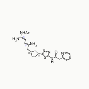 CC(=O)N/C(N)=C/C=C(\N)C[C@@H]1CC[C@H](c2nnc(NC(=O)Cc3ccccn3)s2)C1